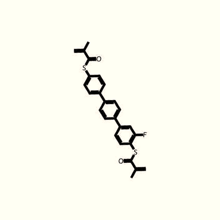 C=C(C)C(=O)Sc1ccc(-c2ccc(-c3ccc(SC(=O)C(=C)C)c(F)c3)cc2)cc1